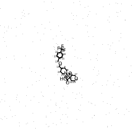 O=C(O)C1(S(=O)(=O)N2CCC(COCc3ccc(C(F)(F)F)cc3)CC2)CCOCC1